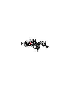 CCS(=O)(=O)c1ccc([C@H](CC#N)c2cc(N3C[C@@H](Oc4ccc(C5CC5)cn4)C[C@H]3COC(F)F)ccc2C(N)=O)cc1